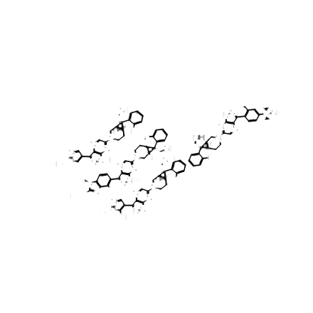 Cc1c(-c2n[nH]c3nc(N4CC[C@@H]5[C@H](C4)[C@@]5(CN)c4ccccc4F)cnc23)cnn1C.Cc1nc2c(Cl)c(-c3n[nH]c4nc(N5CC[C@@H]6[C@H](C5)[C@@]6(CN)c5ccccc5F)cnc34)ccc2n1C.Cn1cc(-c2n[nH]c3nc(N4CC[C@@H]5[C@H](C4)[C@@]5(CN)c4ccccc4F)cnc23)cn1.NC[C@]1(c2ccccc2F)[C@@H]2CCN(c3cnc4c(-c5ccc(S(N)(=O)=O)cc5Cl)n[nH]c4n3)C[C@@H]21